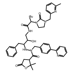 CCC(C)C(C(=O)NCC(O)C(Cc1ccccc1)NN(Cc1ccc(-c2ccccn2)cc1)C(=O)C1CC(=O)OC1(C)C)N1CCN(Cc2cccc(C)n2)C1=O